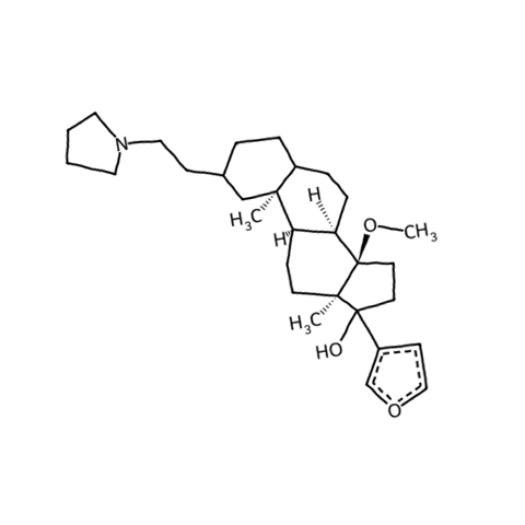 CO[C@@]12CCC(O)(c3ccoc3)[C@@]1(C)CC[C@@H]1[C@H]2CCC2CCC(CCN3CCCC3)C[C@@]21C